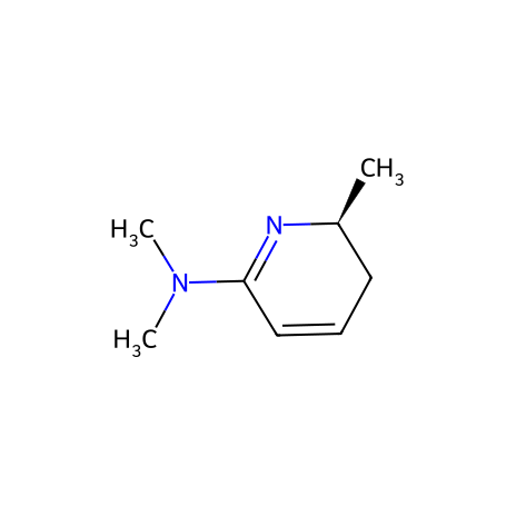 C[C@H]1CC=CC(N(C)C)=N1